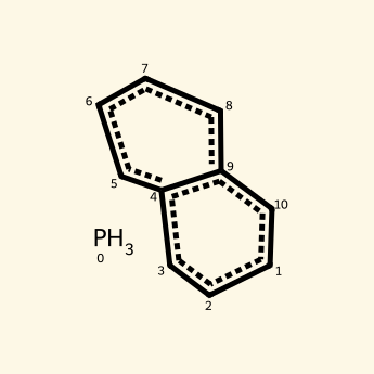 P.c1ccc2ccccc2c1